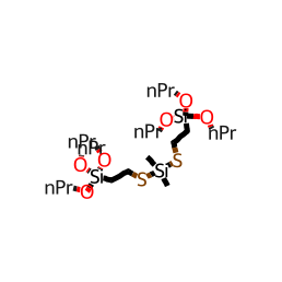 CCCO[Si](CCS[Si](C)(C)SCC[Si](OCCC)(OCCC)OCCC)(OCCC)OCCC